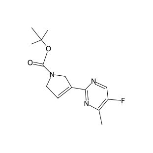 Cc1nc(C2=CCN(C(=O)OC(C)(C)C)C2)ncc1F